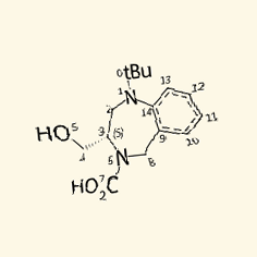 CC(C)(C)N1C[C@@H](CO)N(C(=O)O)Cc2ccccc21